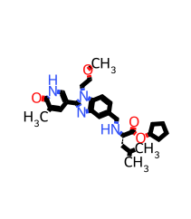 COCCn1c(-c2c[nH]c(=O)c(C)c2)nc2cc(CN[C@@H](CC(C)C)C(=O)OC3CCCC3)ccc21